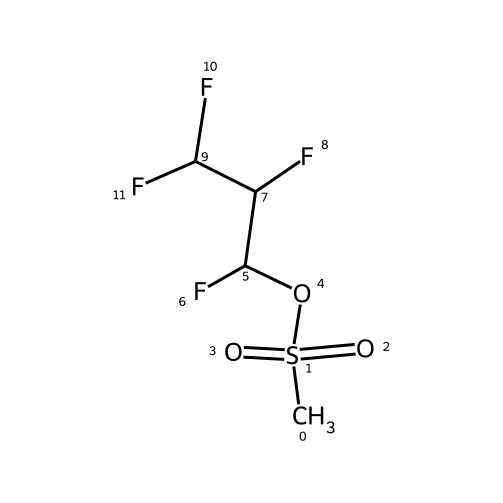 CS(=O)(=O)OC(F)C(F)C(F)F